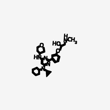 CNCC(O)COc1cccc(-c2nc(NC3CCOCC3)cc(N(C3CCCCC3)C3CC3)n2)c1